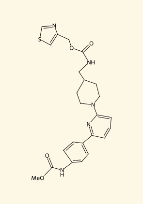 COC(=O)Nc1ccc(-c2cccc(N3CCC(CNC(=O)OCc4cscn4)CC3)n2)cc1